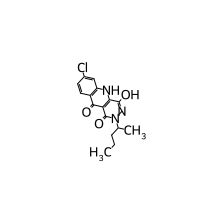 CCCC(C)n1nc(O)c2[nH]c3cc(Cl)ccc3c(=O)c2c1=O